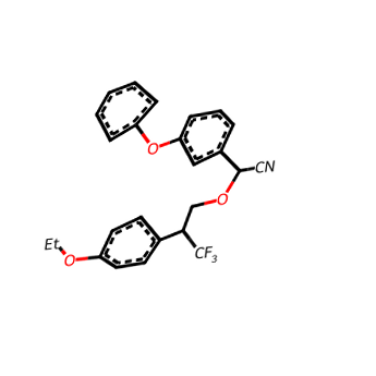 CCOc1ccc(C(COC(C#N)c2cccc(Oc3ccccc3)c2)C(F)(F)F)cc1